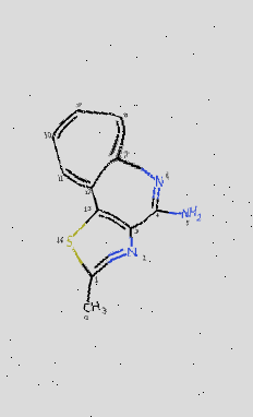 Cc1nc2c(N)nc3ccccc3c2s1